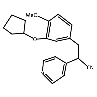 COc1ccc(CC(C#N)c2ccncc2)cc1OC1CCCC1